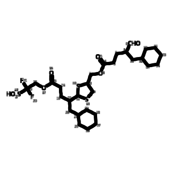 O=CC(CCC(=O)OCC1CSC(C(CCC(=O)OCC(F)(F)S(=O)(=O)O)CC2CCCCC2)S1)CC1CCCCC1